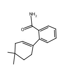 CC1(C)CC=C(c2ccccc2C(N)=O)CC1